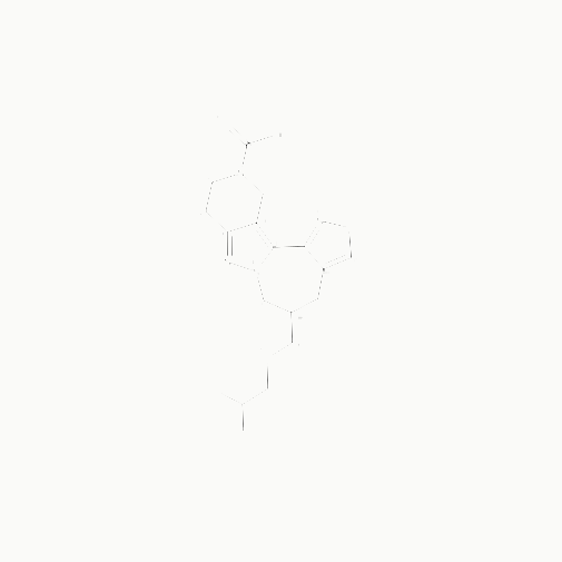 O=C(O)N1CCc2nn3c(c2C1)-c1nocc1CC(COCC(F)F)C3